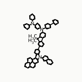 CC1(C)c2cc(-c3ccc4c5c6ccc7cccc8ccc(cc5n(-c5ccc9ccccc9c5)c4c3)c6c87)ccc2-c2ccc(N(c3ccc(-c4ccccc4)cc3)c3ccc(N(c4ccccc4)c4ccccc4)cc3)cc21